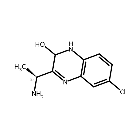 C[C@H](N)C1=Nc2cc(Cl)ccc2NC1O